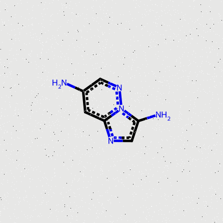 Nc1cnn2c(N)cnc2c1